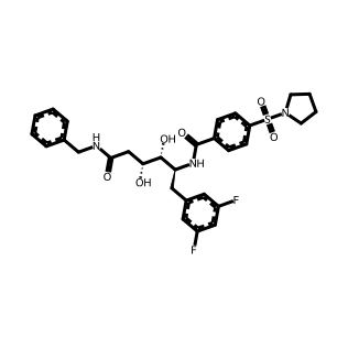 O=C(C[C@@H](O)[C@H](O)[C@H](Cc1cc(F)cc(F)c1)NC(=O)c1ccc(S(=O)(=O)N2CCCC2)cc1)NCc1ccccc1